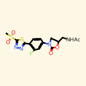 CC(=O)NCC1CN(c2ccc(-c3nnc(S(C)(=O)=O)s3)c(F)c2)C(=O)O1